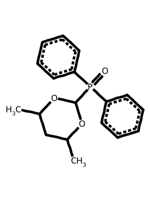 CC1CC(C)OC(P(=O)(c2ccccc2)c2ccccc2)O1